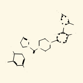 Cc1nc(C#N)nn1-c1nc(N2CCN(C(=O)N3N=CC[C@H]3C3C=C(F)C=C(F)C3C)CC2)ncc1F